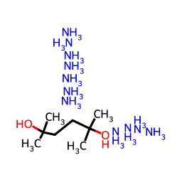 CC(C)(O)CCC(C)(C)O.N.N.N.N.N.N.N.N.N.N.N